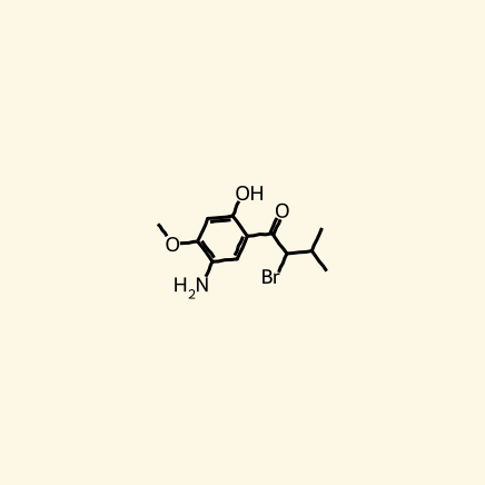 COc1cc(O)c(C(=O)C(Br)C(C)C)cc1N